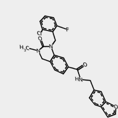 CN1Cc2ccc(C(=O)NCc3ccc4ccoc4c3)cc2N(Cc2c(F)cccc2Cl)C1=O